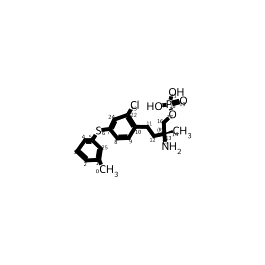 Cc1cccc(Sc2ccc(CC[C@@](C)(N)COP(=O)(O)O)c(Cl)c2)c1